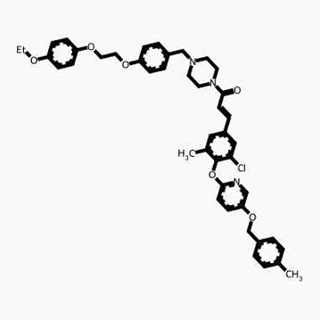 CCOc1ccc(OCCOc2ccc(CN3CCN(C(=O)C=Cc4cc(C)c(Oc5ccc(OCc6ccc(C)cc6)cn5)c(Cl)c4)CC3)cc2)cc1